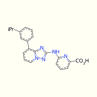 CC(C)c1cccc(-c2cccn3nc(Nc4cccc(C(=O)O)n4)nc23)c1